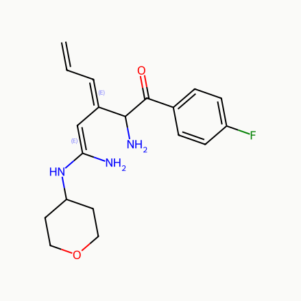 C=C/C=C(\C=C(/N)NC1CCOCC1)C(N)C(=O)c1ccc(F)cc1